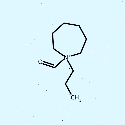 CCC[N+]1([C]=O)CCCCCC1